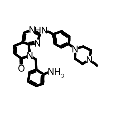 CN1CCN(c2ccc(Nc3ncc4ccc(=O)n(Cc5ccccc5N)c4n3)cc2)CC1